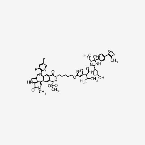 CCN1N=C(C2CC(O)CN2C(=O)C(c2cc(OCCCCCNC(=O)c3cc4c(cc3CS(C)(=O)=O)-c3cn(C)c(=O)c5[nH]cc(c35)CN4c3ncc(F)cc3F)no2)C(C)C)NC1(C)c1ccc(-c2scnc2C)cc1